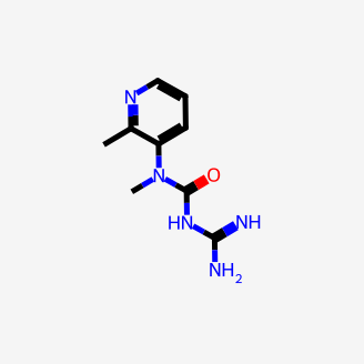 Cc1ncccc1N(C)C(=O)NC(=N)N